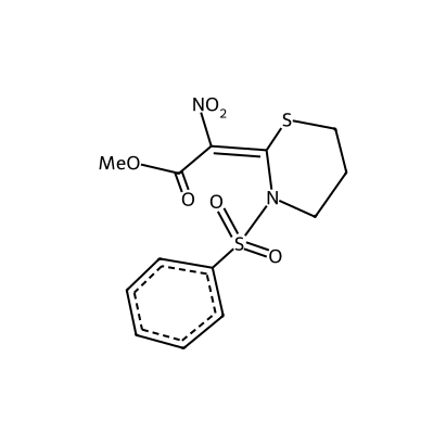 COC(=O)/C(=C1/SCCCN1S(=O)(=O)c1ccccc1)[N+](=O)[O-]